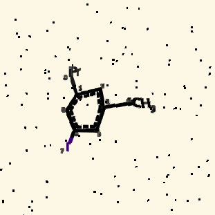 [CH2]C(C)c1cc(C)cc(I)c1